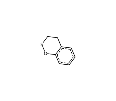 [C]1Cc2ccccc2OS1